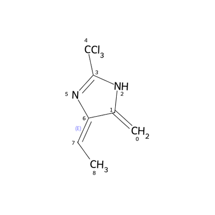 C=c1[nH]c(C(Cl)(Cl)Cl)n/c1=C/C